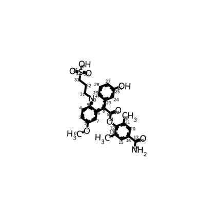 COc1ccc2c(c1)c(C(=O)Oc1c(C)cc(C(N)=O)cc1C)c1cc(O)ccc1[n+]2CCCS(=O)(=O)O